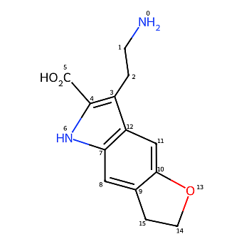 NCCc1c(C(=O)O)[nH]c2cc3c(cc12)OCC3